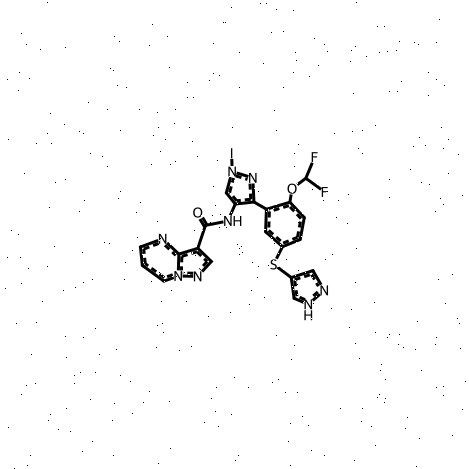 O=C(Nc1cn(I)nc1-c1cc(Sc2cn[nH]c2)ccc1OC(F)F)c1cnn2cccnc12